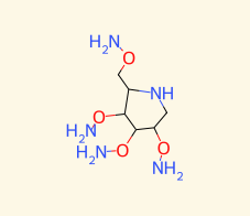 NOCC1NCC(ON)C(ON)C1ON